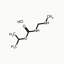 CNCNC(=O)OC(C)C.Cl